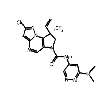 C=C[C@@]1(C(F)(F)F)CN(C(=O)Nc2cnnc(N(C)C)c2)c2cnc3cc(Cl)nn3c21